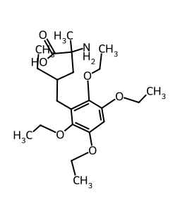 CCOc1cc(OCC)c(OCC)c(CC(CC)CC(C)(N)C(=O)O)c1OCC